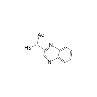 CC(=O)C(S)c1cnc2ccccc2n1